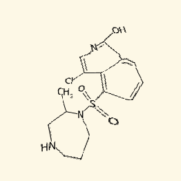 CC1CNCCCN1S(=O)(=O)c1cccc2c(O)ncc(Cl)c12